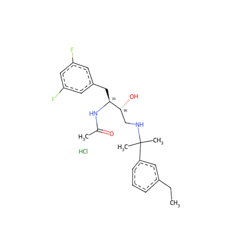 CCc1cccc(C(C)(C)NC[C@@H](O)[C@H](Cc2cc(F)cc(F)c2)NC(C)=O)c1.Cl